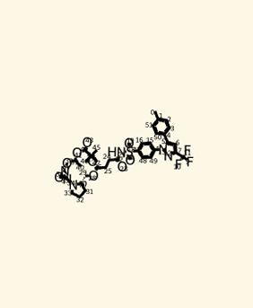 Cc1ccc(-c2cc(C(F)(F)F)nn2-c2ccc(S(=O)(=O)NC(=O)CCC(=O)OC[C@@H]3CCCN3n3on3OC(C)OC(=O)C(C)(C)C)cc2)cc1